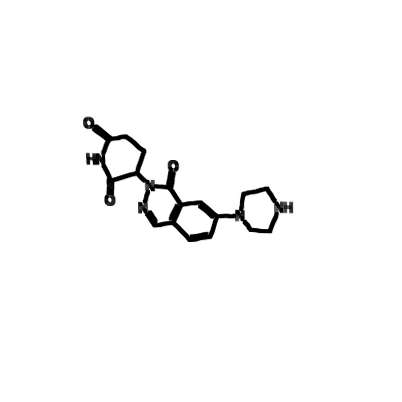 O=C1CCC(n2ncc3ccc(N4CCNCC4)cc3c2=O)C(=O)N1